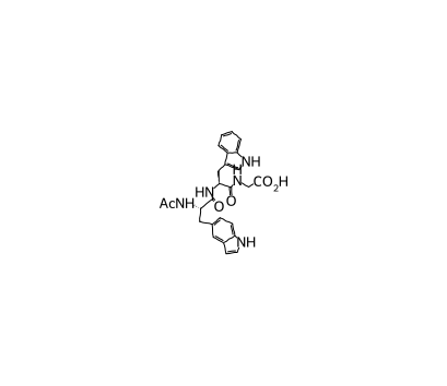 CC(=O)N[C@@H](Cc1ccc2[nH]ccc2c1)C(=O)N[C@@H](Cc1c[nH]c2ccccc12)C(=O)NCC(=O)O